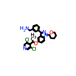 C[C@@H](Oc1ccc2c(c1)c(-c1cccc(CN)c1)nn2C1CCCCO1)c1c(Cl)cncc1Cl